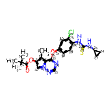 Cc1c(OC(=O)C(C)(C)C)cn2ncnc(Oc3ccc(NC(=S)NC4CC4)c(Cl)c3)c12